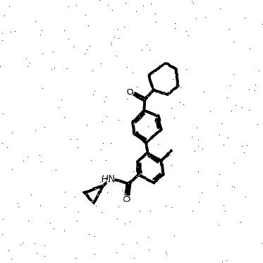 Cc1ccc(C(=O)NC2CC2)cc1-c1ccc(C(=O)C2CCCCC2)cc1